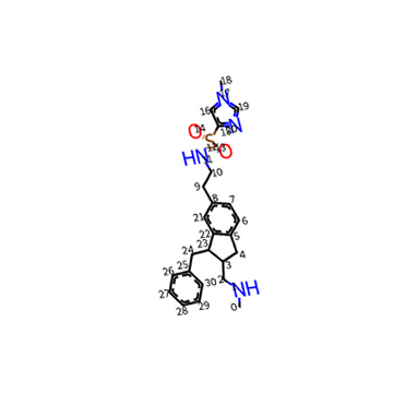 CNCC1Cc2ccc(CCNS(=O)(=O)c3cn(C)cn3)cc2C1Cc1ccccc1